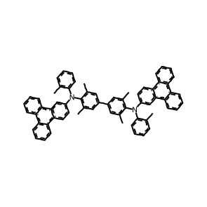 Cc1ccccc1N(c1ccc2c3ccccc3c3ccccc3c2c1)c1c(C)cc(-c2cc(C)c(N(c3ccc4c5ccccc5c5ccccc5c4c3)c3ccccc3C)c(C)c2)cc1C